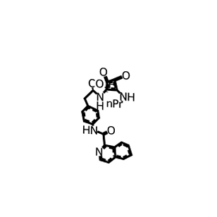 CCCNc1c(N[C@@H](Cc2ccc(NC(=O)c3nccc4ccccc34)cc2)C(=O)O)c(=O)c1=O